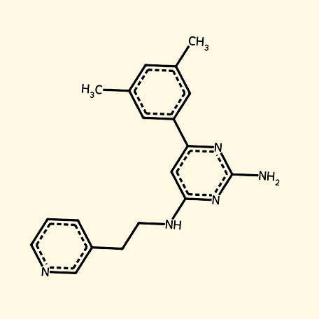 Cc1cc(C)cc(-c2cc(NCCc3cccnc3)nc(N)n2)c1